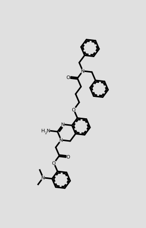 CN(C)c1ccccc1OC(=O)CN1Cc2cccc(OCCCC(=O)N(Cc3ccccc3)Cc3ccccc3)c2N=C1N